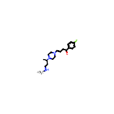 CC(CCNC(=O)O)N1CCN(CCCC(=O)c2ccc(F)cc2)CC1